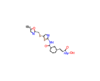 CC(C)(C)c1cnc(CSc2cnc(NC(=O)c3cccc(C=CC(=O)NO)c3)s2)o1